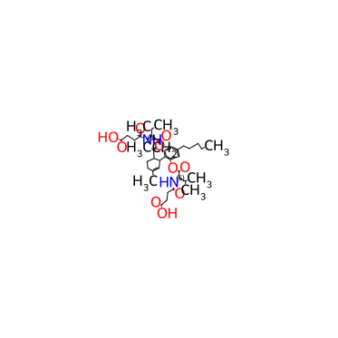 C=C(C)C1CCC(C)=CC1c1c(OC(=O)[C@@H](NC(=O)CCC(=O)O)C(C)C)cc(CCCCC)cc1OC(=O)[C@@H](NC(=O)CCC(=O)O)C(C)C